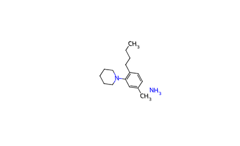 CCCCc1ccc(C)cc1N1CCCCC1.N